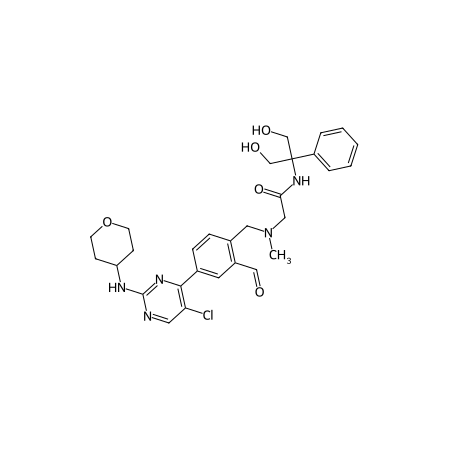 CN(CC(=O)NC(CO)(CO)c1ccccc1)Cc1ccc(-c2nc(NC3CCOCC3)ncc2Cl)cc1C=O